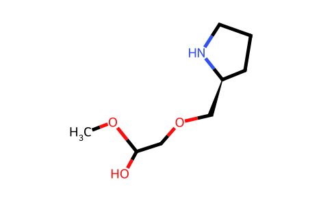 COC(O)COC[C@@H]1CCCN1